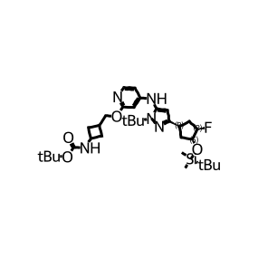 CC(C)(C)OC(=O)NC1CC(COc2cc(Nc3cc([C@H]4C[C@@H](F)[C@@H](O[Si](C)(C)C(C)(C)C)C4)nn3C(C)(C)C)ccn2)C1